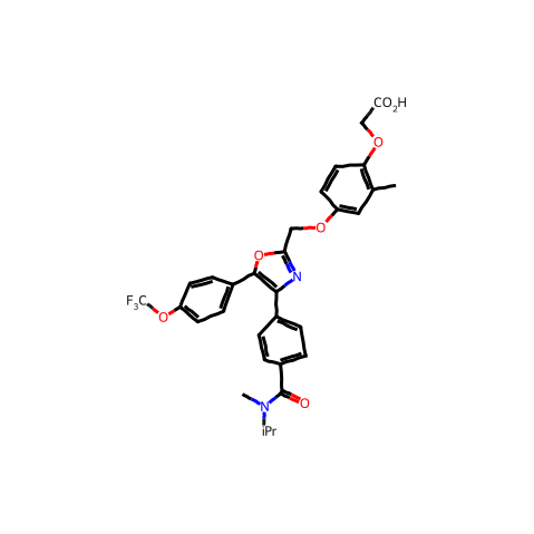 Cc1cc(OCc2nc(-c3ccc(C(=O)N(C)C(C)C)cc3)c(-c3ccc(OC(F)(F)F)cc3)o2)ccc1OCC(=O)O